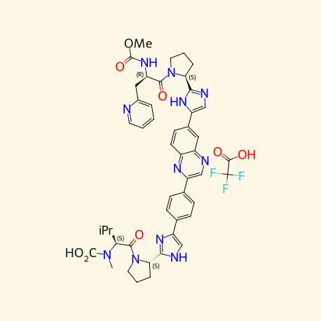 COC(=O)N[C@H](Cc1ccccn1)C(=O)N1CCC[C@H]1c1ncc(-c2ccc3nc(-c4ccc(-c5c[nH]c([C@@H]6CCCN6C(=O)[C@H](C(C)C)N(C)C(=O)O)n5)cc4)cnc3c2)[nH]1.O=C(O)C(F)(F)F